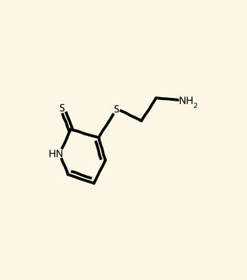 NCCSc1ccc[nH]c1=S